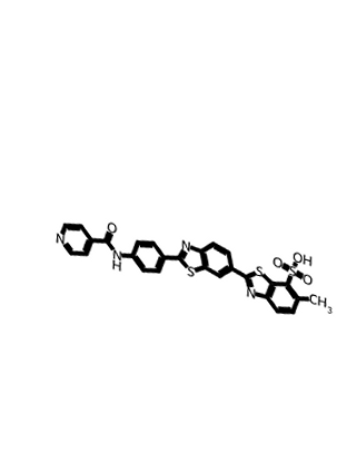 Cc1ccc2nc(-c3ccc4nc(-c5ccc(NC(=O)c6ccncc6)cc5)sc4c3)sc2c1S(=O)(=O)O